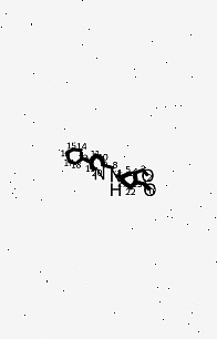 O=C1OCc2cc(NCc3ccc(C4CCCCC4)cn3)ccc21